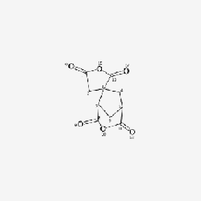 O=C1CC2(CC3CC2C(=O)OC3=O)C(=O)O1